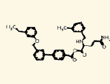 CCc1cccc(OCc2cccc(-c3ccc(C(=O)OC(=O)[C@H](CCC(N)=O)NCc4cccc(C)c4)cc3)c2)c1